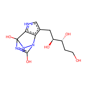 OCC[C@@H](O)[C@@H](O)Cc1c[nH]c2c1N1NC2(O)N=C1O